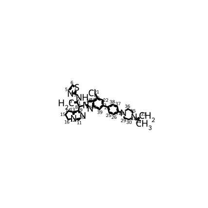 C=C(Nc1nccs1)C(c1ncn2c1CCC2)n1cc2c(Cl)cc(-c3ccc(N4CCN(C(=C)C)CC4)cc3)cc2n1